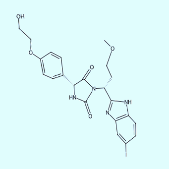 COCC[C@H](c1nc2cc(I)ccc2[nH]1)N1C(=O)N[C@H](c2ccc(OCCO)cc2)C1=O